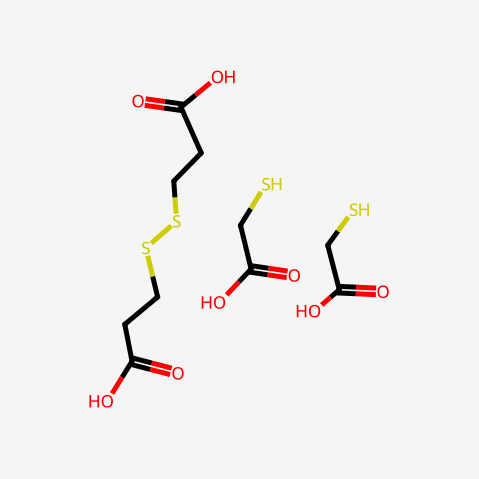 O=C(O)CCSSCCC(=O)O.O=C(O)CS.O=C(O)CS